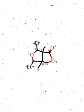 CCC1OC(CC)C2(C)C(=O)OCC12C